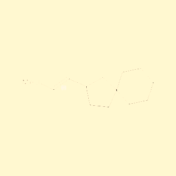 CO/C=C/C1CCC2(CCCCC2)C1